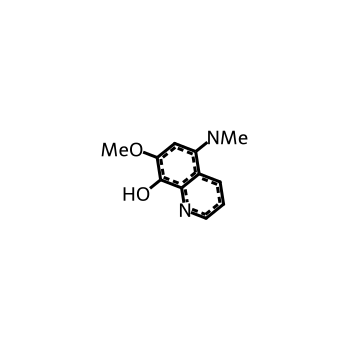 CNc1cc(OC)c(O)c2ncccc12